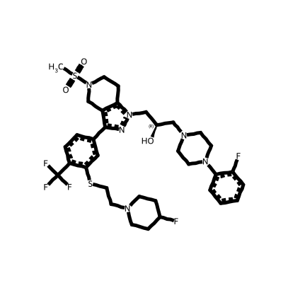 CS(=O)(=O)N1CCc2c(c(-c3ccc(C(F)(F)F)c(SCCN4CCC(F)CC4)c3)nn2C[C@H](O)CN2CCN(c3ccccc3F)CC2)C1